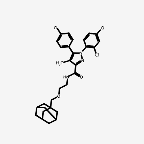 Cc1c(C(=O)NCCOCC23CC4CC(CC(C4)C2)C3)nn(-c2ccc(Cl)cc2Cl)c1-c1ccc(Cl)cc1